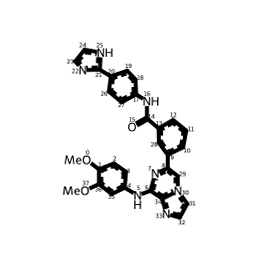 COc1ccc(Nc2nc(-c3cccc(C(=O)Nc4ccc(-c5ncc[nH]5)cc4)c3)cn3ccnc23)cc1OC